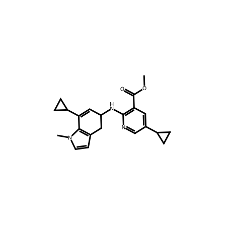 COC(=O)c1cc(C2CC2)cnc1NC1C=C(C2CC2)c2c(ccn2C)C1